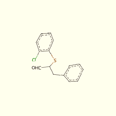 O=CC(Cc1ccccc1)Sc1ccccc1Cl